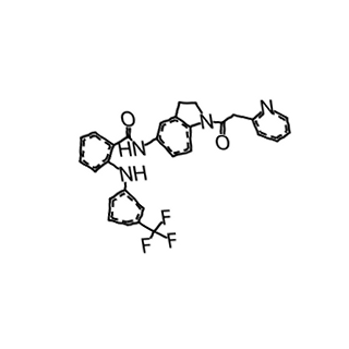 O=C(Nc1ccc2c(c1)CCN2C(=O)Cc1ccccn1)c1ccccc1Nc1cccc(C(F)(F)F)c1